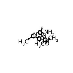 CC#Cc1ccnc(-c2cccc(C3(c4cc(C)c(=O)n(CC)c4)N=C(N)c4c(F)cccc43)c2)c1